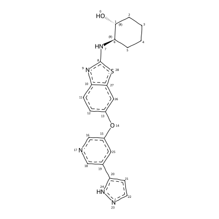 O[C@@H]1CCCC[C@H]1Nc1nc2ccc(Oc3cncc(-c4ccn[nH]4)c3)cc2s1